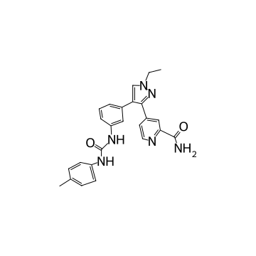 CCn1cc(-c2cccc(NC(=O)Nc3ccc(C)cc3)c2)c(-c2ccnc(C(N)=O)c2)n1